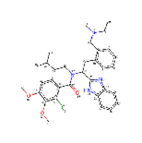 CCN(C)Cc1ccccc1CC(c1nc2ccccc2[nH]1)N(CCC(C)C)C(=O)c1ccc(OC)c(OC)c1Cl